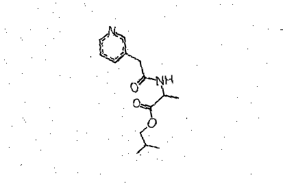 CC(C)COC(=O)C(C)NC(=O)Cc1cccnc1